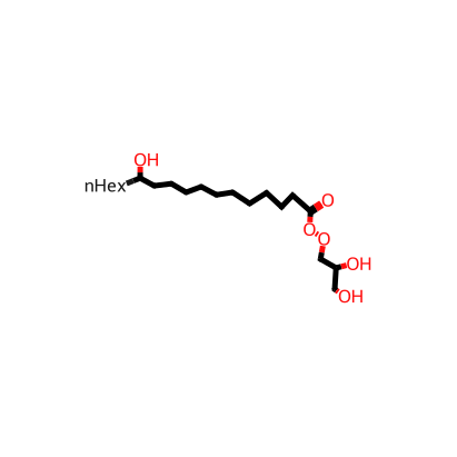 CCCCCCC(O)CCCCCCCCCCC(=O)OOCC(O)CO